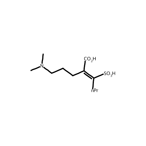 CCCC(=C(CCCN(C)C)C(=O)O)S(=O)(=O)O